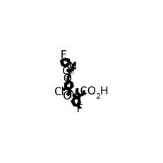 Cc1c(CC(=O)O)c2cc(F)ccc2n1C(=O)c1ccc(OC[C@@H]2CN(C)c3cc(F)ccc3O2)cc1Cl